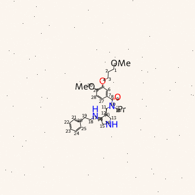 COCCCOc1cc(C(=O)N(C[C@H]2CNC[C@@H]2NCCc2ccccc2)C(C)C)ccc1OC